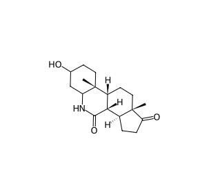 C[C@]12CCC(O)CC1NC(=O)[C@@H]1[C@H]2CC[C@]2(C)C(=O)CC[C@@H]12